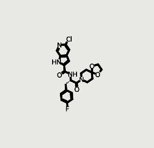 O=C(N[C@@H](Cc1ccc(F)cc1)C(=O)N1CCC2(CC1)OCCO2)c1cc2cc(Cl)ncc2[nH]1